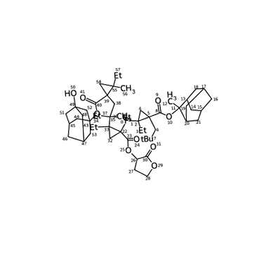 CCP(C1(CC)CC1(CC(C)(C)C)C(=O)OC1(C)C2CC3CC(C2)CC1C3)C1(C(=O)OC2CCOC2=O)CC1(CC)C(C)(CC)CC1(C(=O)OC23CC4CC(CC(O)(C4)C2)C3)CC1(C)CC